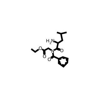 CCOC(=O)CN(C(=O)c1ccccc1)C(=O)C(N)CC(C)C